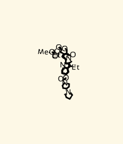 CCc1c2c(nc3ccc(OC(=O)N4CCC(N5CCCCC5)CC4)cc13)-c1cc3c(c(=O)n1C2)COC(=O)[C@@]3(CC)OC(=O)OC